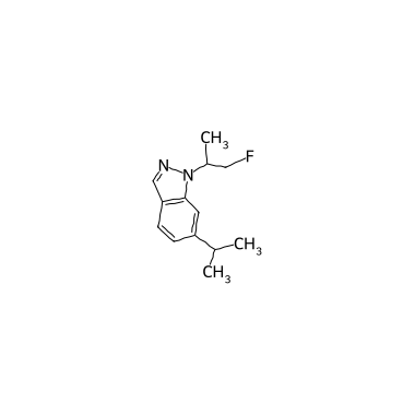 CC(C)c1ccc2cnn(C(C)CF)c2c1